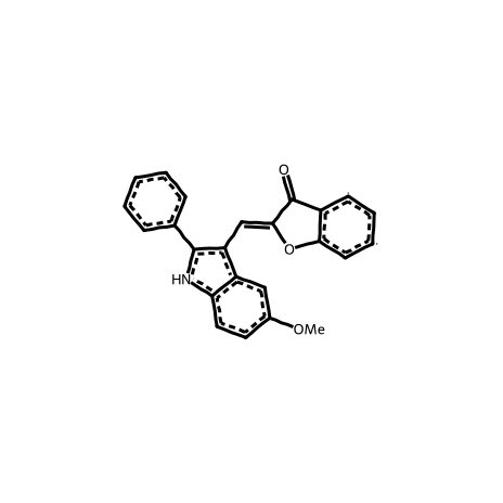 COc1ccc2[nH]c(-c3ccccc3)c(/C=C3\Oc4c[c]c[c]c4C3=O)c2c1